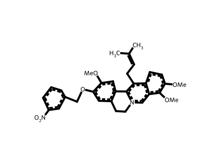 COc1cc2c(cc1OCc1cccc([N+](=O)[O-])c1)CC[n+]1cc3c(OC)c(OC)ccc3c(CC=C(C)C)c1-2